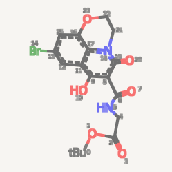 CC(C)(C)OC(=O)CNC(=O)c1c(O)c2cc(Br)cc3c2n(c1=O)CCO3